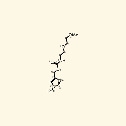 COCCOCCNC(=O)OCc1cn(C(C)C)nn1